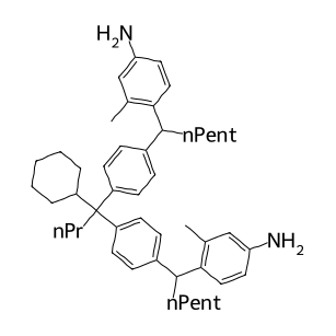 CCCCCC(c1ccc(C(CCC)(c2ccc(C(CCCCC)c3ccc(N)cc3C)cc2)C2CCCCC2)cc1)c1ccc(N)cc1C